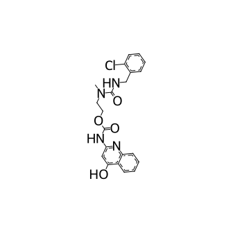 CN(CCOC(=O)Nc1cc(O)c2ccccc2n1)C(=O)NCc1ccccc1Cl